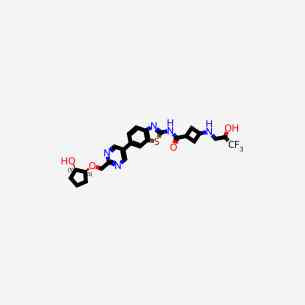 O=C(Nc1nc2ccc(-c3cnc(CO[C@H]4CCC[C@@H]4O)nc3)cc2s1)C1CC(NCC(O)C(F)(F)F)C1